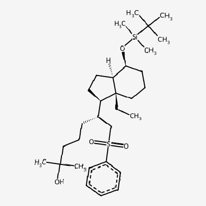 CC[C@]12CCC[C@H](O[Si](C)(C)C(C)(C)C)[C@@H]1CC[C@@H]2[C@@H](CCCC(C)(C)O)CS(=O)(=O)c1ccccc1